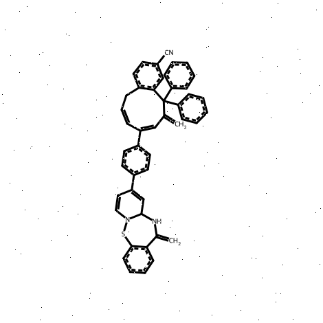 C=C1NC2C=C(c3ccc(C4=C/C(=C)C(c5ccccc5)(c5ccccc5)c5cc(C#N)ccc5C/C=C\4)cc3)C=CN2Sc2ccccc21